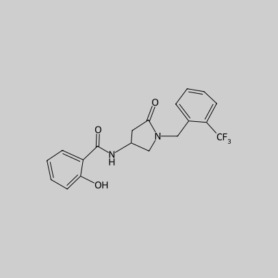 O=C(NC1CC(=O)N(Cc2ccccc2C(F)(F)F)C1)c1ccccc1O